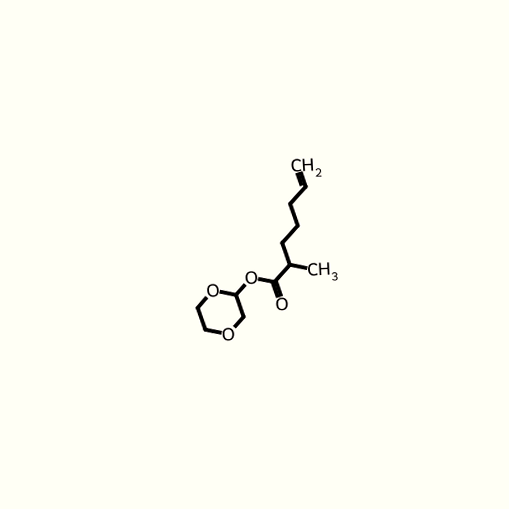 C=CCCCC(C)C(=O)OC1COCCO1